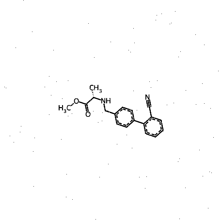 COC(=O)[C@H](C)NCc1ccc(-c2ccccc2C#N)cc1